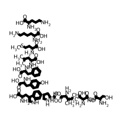 CC(C)C[C@@H](N)C(=O)O.CC[C@@H](C)[C@@H](N)C(=O)O.CSCC[C@@H](N)C(=O)O.C[C@H](O)[C@@H](N)C(=O)O.NCCCC[C@@H](N)C(=O)O.NCCC[C@@H](N)C(=O)O.N[C@H](CO)C(=O)O.N[C@H](Cc1c[nH]c2ccccc12)C(=O)O.N[C@H](Cc1ccc(O)cc1)C(=O)O.N[C@H](Cc1ccccc1)C(=O)O.O=C(O)[C@H]1CCCN1